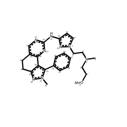 COCCN(C)CCn1ccc(Nc2ncc3c(n2)-c2c(nn(C)c2-c2ccccc2)CC3)n1